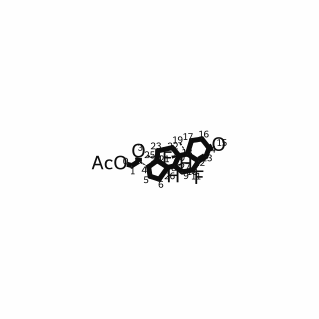 CC(=O)OCC(=O)[C@H]1CC[C@H]2[C@@H]3C[C@H](F)C4=CC(=O)CC[C@]4(C)[C@@]3(F)CC[C@]12C